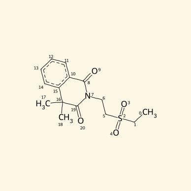 CCS(=O)(=O)CCN1C(=O)c2ccccc2C(C)(C)C1=O